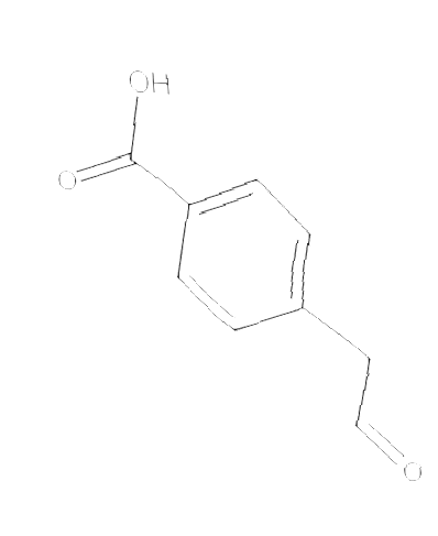 O=CCc1ccc(C(=O)O)cc1